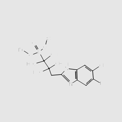 CCOP(=O)(OCC)C(C)(C)C(C)(C)Cc1nc2cc(I)c(Cl)cc2[nH]1